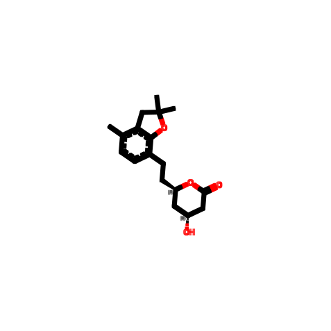 Cc1ccc(CC[C@@H]2C[C@@H](O)CC(=O)O2)c2c1CC(C)(C)O2